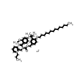 CCCCCCCCCCCCCCOc1ccc(COC(=O)N(Cc2cccc[n+]2CCC)C(=O)c2ccccc2OC)cc1C(C)(C)C.[I-]